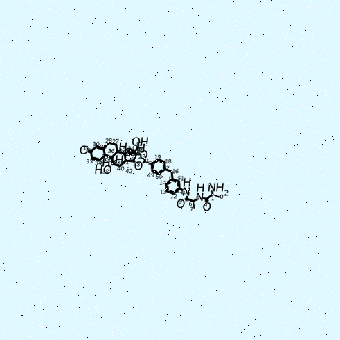 C[C@H](N)C(=O)N[C@@H](C)C(=O)Nc1cccc(Cc2ccc([C@@H]3O[C@@H]4C[C@H]5[C@@H]6CCC7=CC(=O)C=C[C@]7(C)[C@H]6[C@@H](O)C[C@]5(C)[C@]4(C(=O)CO)O3)cc2)c1